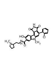 CN1CCCC1CCNC(=O)c1cc2c(cc1O)c1c3c(c(-c4ccccc4Cl)cc1n2C)C(=O)NC3=O